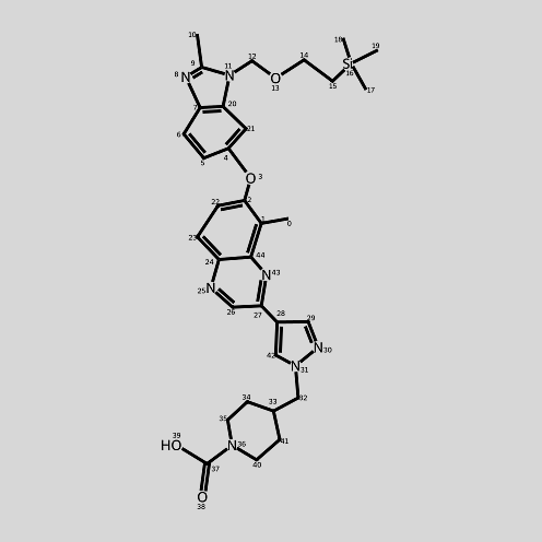 Cc1c(Oc2ccc3nc(C)n(COCC[Si](C)(C)C)c3c2)ccc2ncc(-c3cnn(CC4CCN(C(=O)O)CC4)c3)nc12